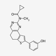 CN(C(=O)C1CC1)c1ncc2c(n1)-c1cc(-c3cccc(O)c3)sc1CC2